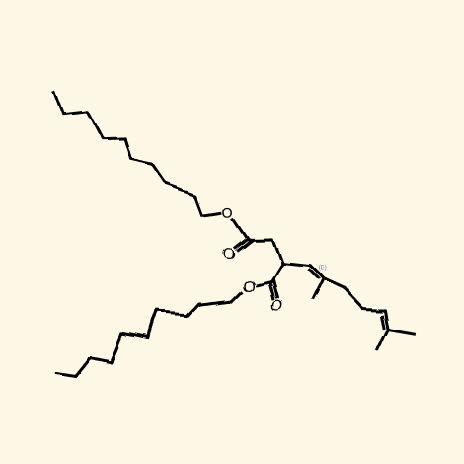 CCCCCCCCCCOC(=O)CC(/C=C(\C)CCC=C(C)C)C(=O)OCCCCCCCCCC